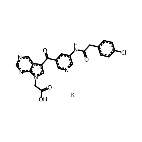 O=C(O)Cn1cc(C(=O)c2cncc(NC(=O)Cc3ccc(Cl)cc3)c2)c2cncnc21.[K]